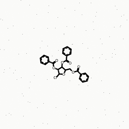 O=C(OCC1OC(Cl)C(OC(=O)c2ccccc2)C1OC(=O)c1ccccc1)c1ccccc1